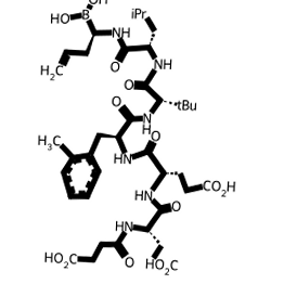 C=CC[C@H](NC(=O)[C@H](CC(C)C)NC(=O)[C@@H](NC(=O)[C@H](Cc1ccccc1C)NC(=O)[C@H](CCC(=O)O)NC(=O)[C@H](CC(=O)O)NC(=O)CCC(=O)O)C(C)(C)C)B(O)O